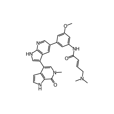 COc1cc(NC(=O)C=CCN(C)C)cc(-c2cnc3[nH]cc(-c4cn(C)c(=O)c5[nH]ccc45)c3c2)c1